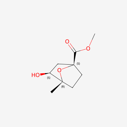 COC(=O)[C@@]12CC[C@@](C)(O1)[C@@H](O)C2